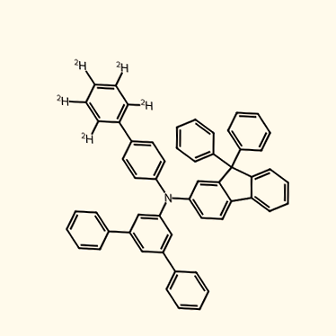 [2H]c1c([2H])c([2H])c(-c2ccc(N(c3cc(-c4ccccc4)cc(-c4ccccc4)c3)c3ccc4c(c3)C(c3ccccc3)(c3ccccc3)c3ccccc3-4)cc2)c([2H])c1[2H]